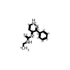 CCNC(=S)N=c1cc[nH]nc1-c1ccccc1